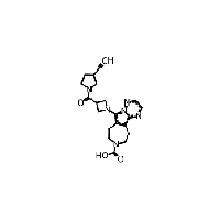 C#CC1CCN(C(=O)C2CN(c3c4c(c5nccnn35)CCN(C(=O)O)CC4)C2)C1